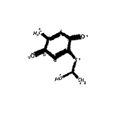 CC1=CC(=O)C(SC(C)O)=CC1=O